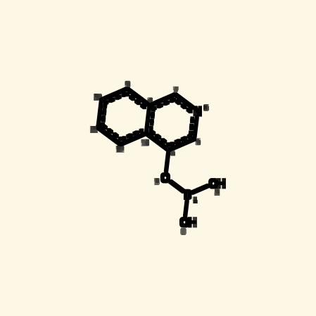 OB(O)Oc1cncc2ccccc12